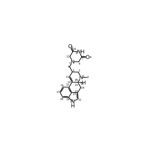 CN1CC(CN2CC(=O)NC(=O)C2)C=C2c3cccc4[nH]cc(c34)C[C@H]21